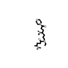 CCN(CCCC(CCC(=O)N1CCOCC1)N(C)C)C(=O)CCC(C)N(C)C